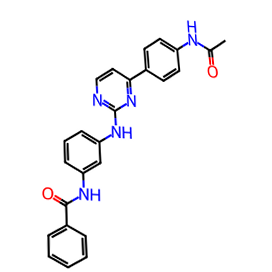 CC(=O)Nc1ccc(-c2ccnc(Nc3cccc(NC(=O)c4ccccc4)c3)n2)cc1